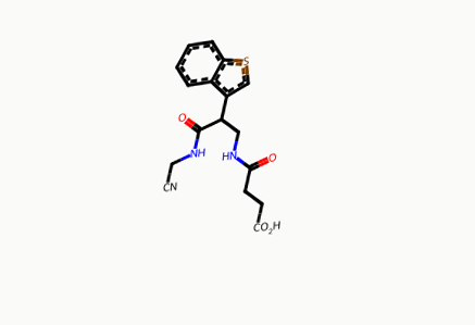 N#CCNC(=O)C(CNC(=O)CCC(=O)O)c1csc2ccccc12